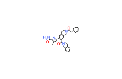 Cc1cc(-c2cc3c(cc2C(=O)N2Cc4ccccc4C[C@H]2C)CN(C(=O)Cc2ccccc2)CC3)n(C)c1C(N)=O